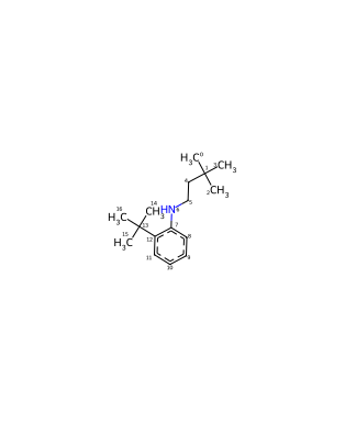 CC(C)(C)CCNc1ccccc1C(C)(C)C